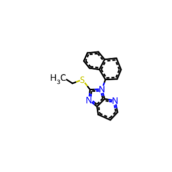 CCSc1nc2cccnc2n1-c1cccc2ccccc12